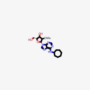 COC1C(O)[C@@H](CO)O[C@H]1n1cnc2c(NC3CCCCCC3)ncnc21